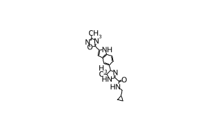 Cc1noc(-c2cc3cc(C4N=C(C(=O)NCC5CC5)NC4C)ccc3[nH]2)n1